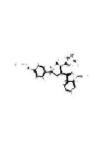 CCCCCCOc1ccc([C@]2(C)CC(c3cn(C(C)C)c4ccccc34)=C(c3nnc[nH]3)C(=O)N2)cc1